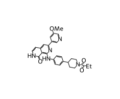 CCS(=O)(=O)N1CCC(c2ccc(Nc3nc(-c4cncc(OC)c4)cc4cc[nH]c(=O)c34)cc2)CC1